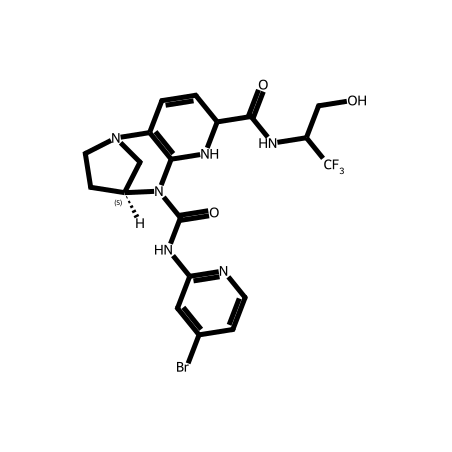 O=C(NC(CO)C(F)(F)F)C1C=CC2=C(N1)N(C(=O)Nc1cc(Br)ccn1)[C@H]1CCN2C1